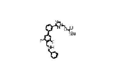 CC(C)(C)C(=O)OCn1cnc(-c2cccc(-c3cc(F)c(CNCc4ccccc4)c(F)c3)c2)n1